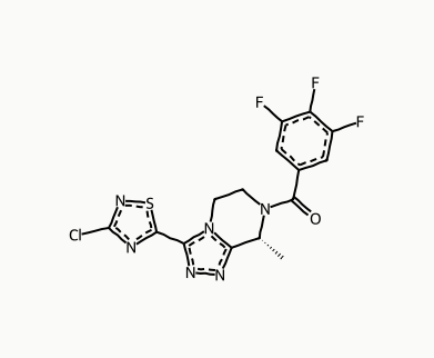 C[C@@H]1c2nnc(-c3nc(Cl)ns3)n2CCN1C(=O)c1cc(F)c(F)c(F)c1